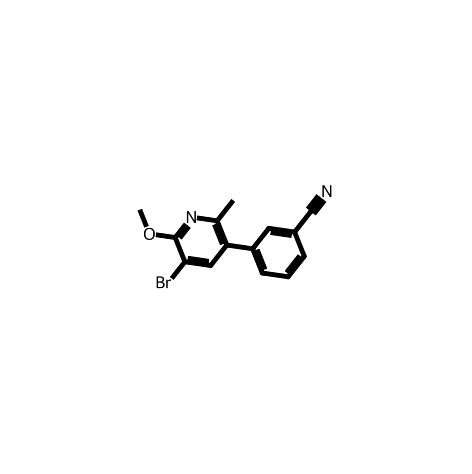 COc1nc(C)c(-c2cccc(C#N)c2)cc1Br